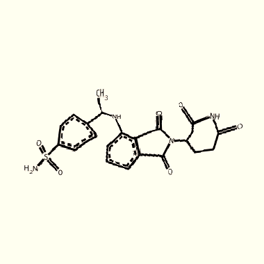 C[C@@H](Nc1cccc2c1C(=O)N(C1CCC(=O)NC1=O)C2=O)c1ccc(S(N)(=O)=O)cc1